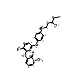 Cn1cccc(Nc2nc(Nc3ccc(NCCC(O)CI)cc3)ncc2Br)c1=O